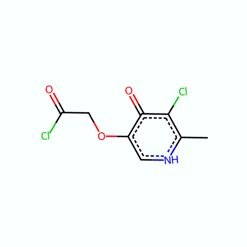 Cc1[nH]cc(OCC(=O)Cl)c(=O)c1Cl